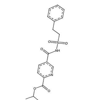 CC(C)OC(=O)c1ccc(C(=O)NS(=O)(=O)CCc2ccccc2)cn1